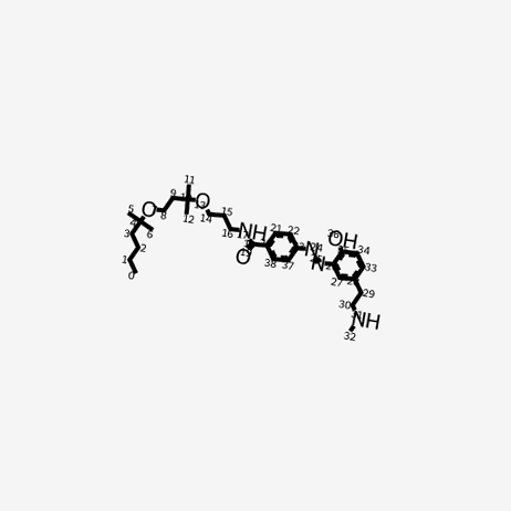 CCCCC(C)(C)OCCC(C)(C)OCCCNC(=O)c1ccc(/N=N/c2cc(CCNC)ccc2O)cc1